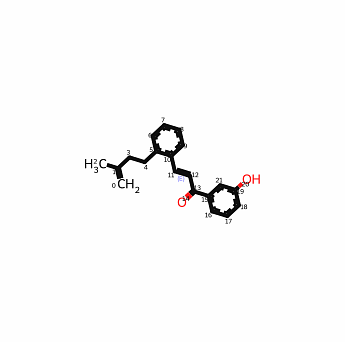 C=C(C)CCc1ccccc1/C=C/C(=O)c1cccc(O)c1